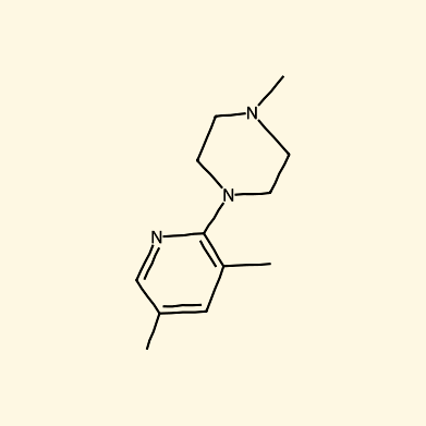 Cc1cnc(N2CCN(C)CC2)c(C)c1